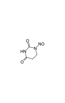 O=NN1CCC(=O)NC1=O